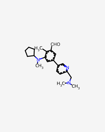 Cc1c(C=O)cc(-c2ccc(CN(C)C)nc2)cc1N(C)C1CCCC1